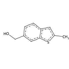 Cc1cc2ccc(CO)cc2s1